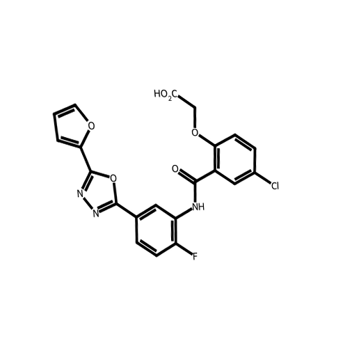 O=C(O)COc1ccc(Cl)cc1C(=O)Nc1cc(-c2nnc(-c3ccco3)o2)ccc1F